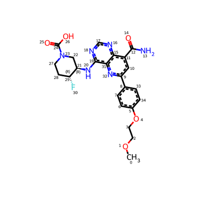 COCCOc1ccc(-c2cc(C(N)=O)c3ncnc(N[C@@H]4CN(C(=O)O)CC[C@H]4F)c3n2)cc1